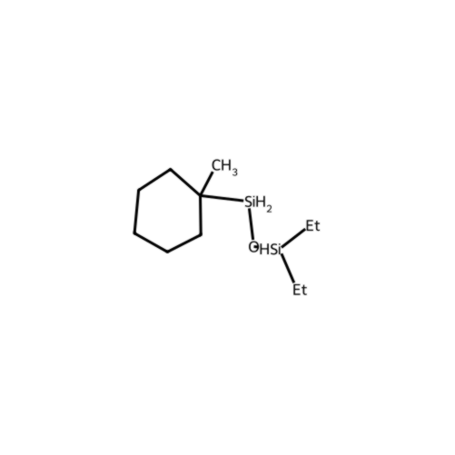 CC[SiH](CC)O[SiH2]C1(C)CCCCC1